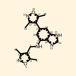 Cc1noc(C)c1CNc1cc(-c2c(C)noc2C)cc2[nH]cnc12